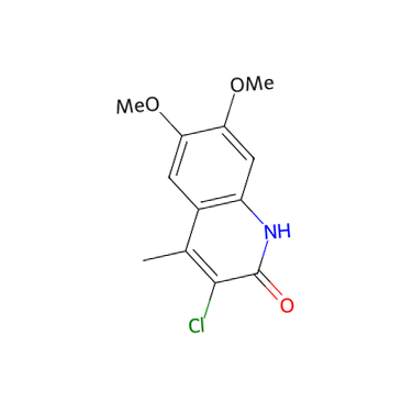 COc1cc2[nH]c(=O)c(Cl)c(C)c2cc1OC